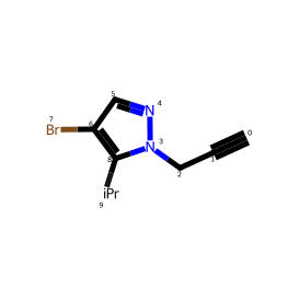 C#CCn1n[c]c(Br)c1C(C)C